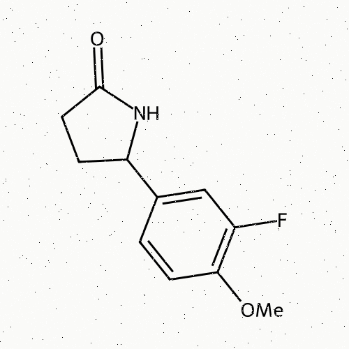 COc1ccc(C2CCC(=O)N2)cc1F